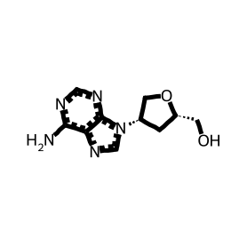 Nc1ncnc2c1ncn2[C@@H]1CO[C@H](CO)C1